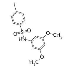 COc1cc(NS(=O)(=O)c2ccc(I)cc2)cc(OC)c1